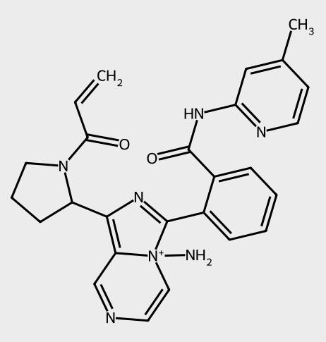 C=CC(=O)N1CCCC1C1=C2C=NC=C[N+]2(N)C(c2ccccc2C(=O)Nc2cc(C)ccn2)=N1